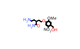 COc1cc(CO)c([N+](=O)[O-])cc1OCCC(CCN)C(N)=O